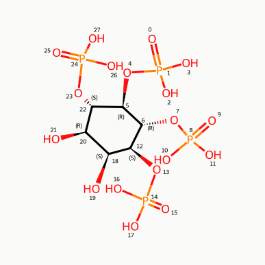 O=P(O)(O)O[C@H]1[C@H](OP(=O)(O)O)[C@@H](OP(=O)(O)O)[C@@H](O)[C@@H](O)[C@@H]1OP(=O)(O)O